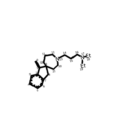 C=C1c2ccccc2CC12CCCN(CCCN(CC)CC)CC2